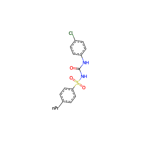 CCCc1ccc(S(=O)(=O)NC(=O)Nc2ccc(Cl)cc2)cc1